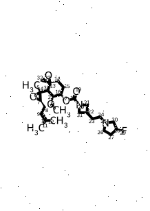 CO[C@H]1C([C@@]2(C)O[C@@H]2CC=C(C)C)[C@]2(CC[C@H]1OC(=O)N1CC(CCN3CC[C@H](F)C3)C1)CO2